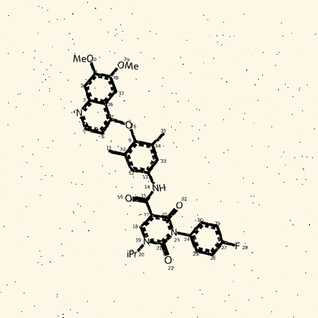 COc1cc2nccc(Oc3c(C)cc(NC(=O)c4cn(C(C)C)c(=O)n(-c5ccc(F)cc5)c4=O)cc3C)c2cc1OC